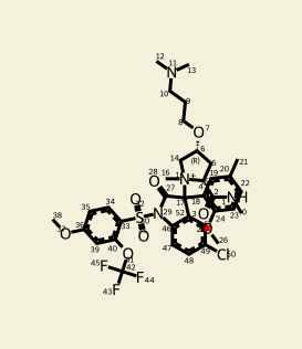 CNC(=O)[C@@H]1C[C@@H](OCCCN(C)C)C[N+]1(C)C1(c2cc(C)ccc2OC)C(=O)N(S(=O)(=O)c2ccc(OC)cc2OC(F)(F)F)c2ccc(Cl)cc21